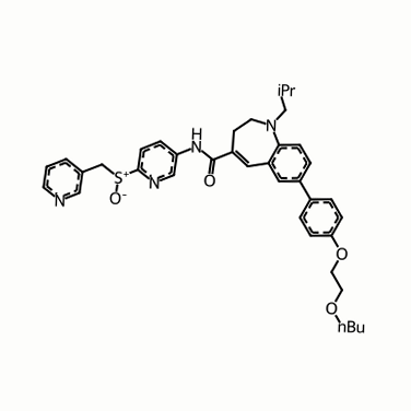 CCCCOCCOc1ccc(-c2ccc3c(c2)C=C(C(=O)Nc2ccc([S+]([O-])Cc4cccnc4)nc2)CCN3CC(C)C)cc1